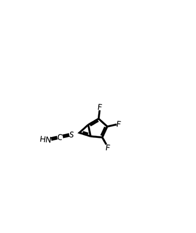 Fc1c2cc-2c(F)c1F.N=C=S